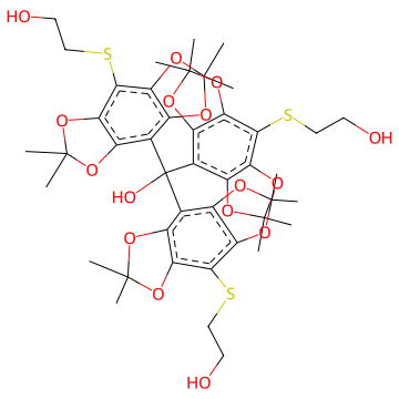 CC1(C)Oc2c(c(C(O)(c3c4c(c(SCCO)c5c3OC(C)(C)O5)OC(C)(C)O4)c3c4c(c(SCCO)c5c3OC(C)(C)O5)OC(C)(C)O4)c3c(c2SCCO)OC(C)(C)O3)O1